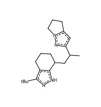 CC(CC1CCCc2c(C(C)(C)C)n[nH]c21)c1cc2n(n1)CCC2